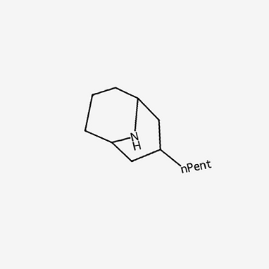 CCCCCC1CC2CCCC(C1)N2